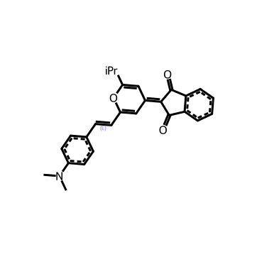 CC(C)C1=CC(=C2C(=O)c3ccccc3C2=O)C=C(/C=C/c2ccc(N(C)C)cc2)O1